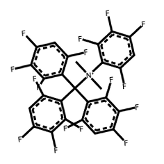 C[N+](C)(c1c(F)cc(F)c(F)c1F)C(c1c(F)cc(F)c(F)c1F)(c1c(F)cc(F)c(F)c1F)c1c(F)cc(F)c(F)c1F